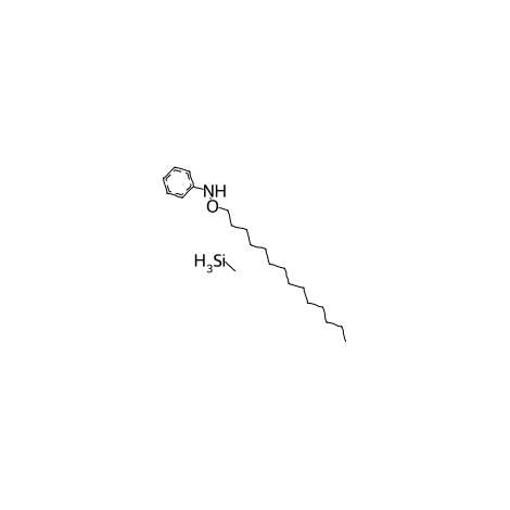 CCCCCCCCCCCCCCONc1ccccc1.C[SiH3]